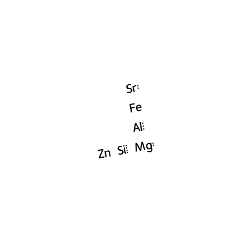 [Al].[Fe].[Mg].[Si].[Sr].[Zn]